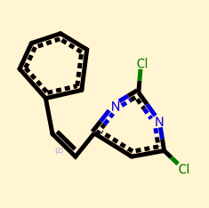 Clc1cc(/C=C\c2ccccc2)nc(Cl)n1